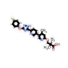 Cc1cc(OCC(C)(C)C(=O)O)ncc1-c1ccc(-c2nc(Oc3ccc(F)cc3)n[nH]2)nc1